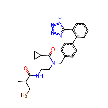 CC(CS)C(=O)NCCN(Cc1ccc(-c2ccccc2-c2nnn[nH]2)cc1)C(=O)C1CC1